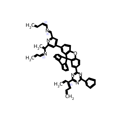 C=C/C=C\N=C\c1cc(-c2ccc3c(c2)C2(c4cc(-c5nc(/C(C=C)=C/C=C)nc(-c6ccccc6)n5)ccc4O3)c3ccccc3-c3ccccc32)cc(C(=C)/N=C\C=C)n1